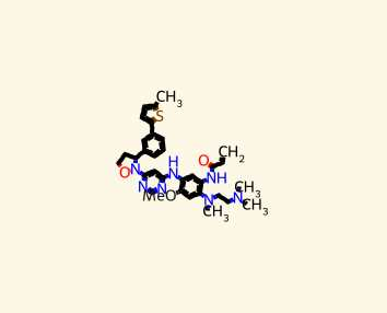 C=CC(=O)Nc1cc(Nc2cc(N3OCCC3c3cccc(-c4ccc(C)s4)c3)ncn2)c(OC)cc1N(C)CCN(C)C